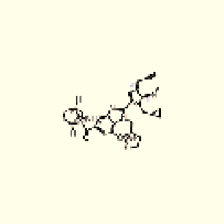 C#C/C=C1/C=C(c2nc3cc(C(=O)N4C[C@H]5CC[C@@H]4C5N)cc(OC)c3n2CC2CCOC2)N(CC2CC2)/C1=N/C